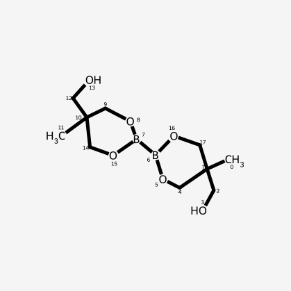 CC1(CO)COB(B2OCC(C)(CO)CO2)OC1